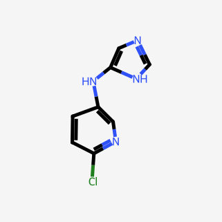 Clc1ccc(Nc2cnc[nH]2)cn1